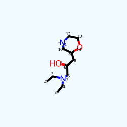 CCN(CC)CC(O)CC1C[N]CCO1